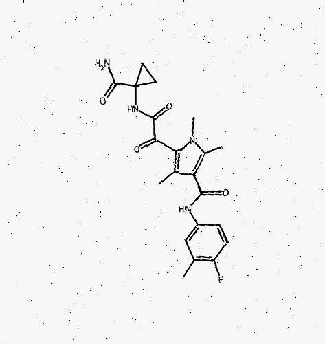 Cc1cc(NC(=O)c2c(C)c(C(=O)C(=O)NC3(C(N)=O)CC3)n(C)c2C)ccc1F